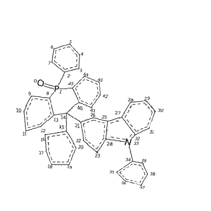 O=P1(c2ccccc2)c2ccccc2C(c2ccccc2)(c2ccc3c(c2)c2ccccc2n3-c2ccccc2)c2ccccc21